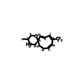 CC1CO[C@@]2(/C=C/C=C(C(F)(F)F)\C=C/CC2)CN1